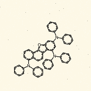 c1ccc(N(c2ccccc2)c2cc(N(c3ccccc3)c3ccccc3)c3c(c2)oc2c4cccc(N(c5ccccc5)c5ccccc5)c4ccc23)cc1